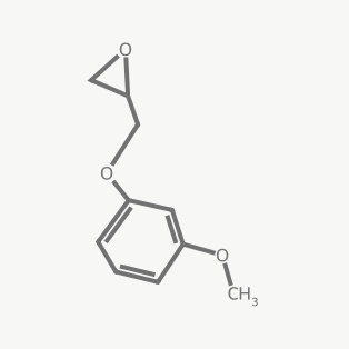 COc1cccc(OCC2CO2)c1